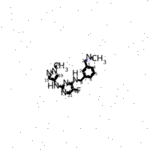 C/N=C\c1cccc(CNc2nc(Nc3cnn(C)c3)ncc2F)c1